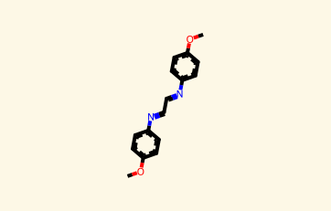 COc1ccc(/N=C/C=N/c2ccc(OC)cc2)cc1